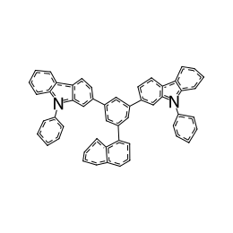 c1ccc(-n2c3ccccc3c3ccc(-c4cc(-c5ccc6c7ccccc7n(-c7ccccc7)c6c5)cc(-c5cccc6ccccc56)c4)cc32)cc1